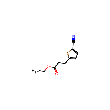 CCOC(=O)CCc1ccc(C#N)s1